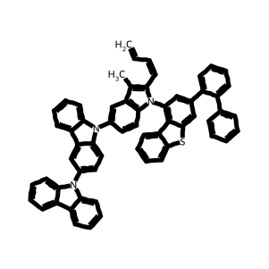 C=C/C=C\c1c(C)c2cc(-n3c4ccccc4c4cc(-n5c6ccccc6c6ccccc65)ccc43)ccc2n1-c1cc(-c2ccccc2-c2ccccc2)cc2sc3ccccc3c12